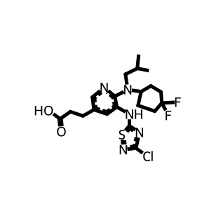 CC(C)CN(c1ncc(CCC(=O)O)cc1Nc1nc(Cl)ns1)C1CCC(F)(F)CC1